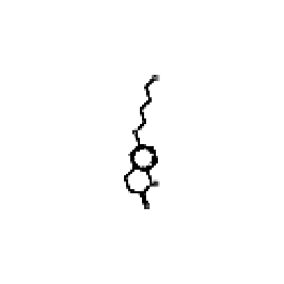 O=C1CCc2cc(OCCCCCl)ccc2N1